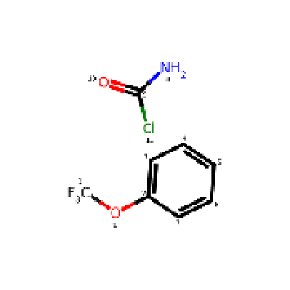 FC(F)(F)Oc1ccccc1.NC(=O)Cl